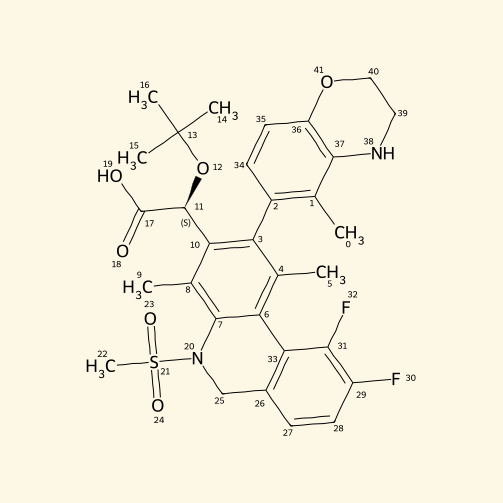 Cc1c(-c2c(C)c3c(c(C)c2[C@H](OC(C)(C)C)C(=O)O)N(S(C)(=O)=O)Cc2ccc(F)c(F)c2-3)ccc2c1NCCO2